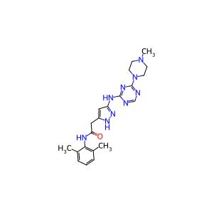 Cc1cccc(C)c1NC(=O)Cc1cc(Nc2ncnc(N3CCN(C)CC3)n2)n[nH]1